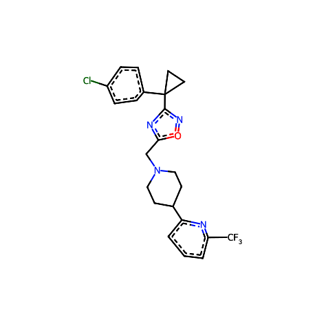 FC(F)(F)c1cccc(C2CCN(Cc3nc(C4(c5ccc(Cl)cc5)CC4)no3)CC2)n1